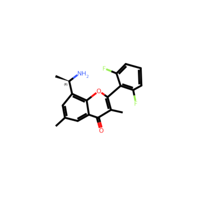 Cc1cc([C@@H](C)N)c2oc(-c3c(F)cccc3F)c(C)c(=O)c2c1